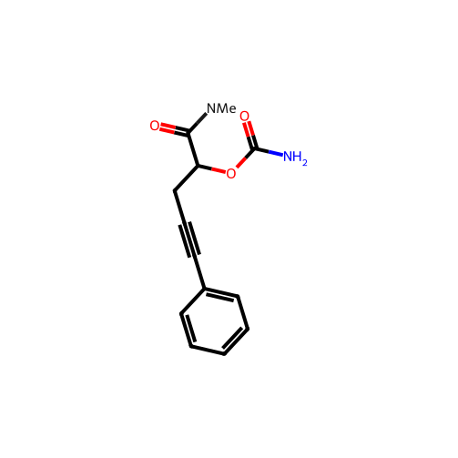 CNC(=O)C(CC#Cc1ccccc1)OC(N)=O